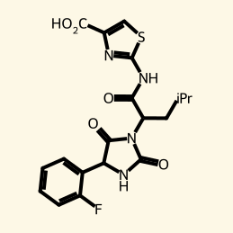 CC(C)CC(C(=O)Nc1nc(C(=O)O)cs1)N1C(=O)NC(c2ccccc2F)C1=O